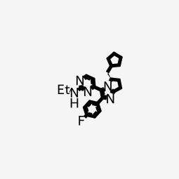 CCNc1nccc(-c2c(-c3ccc(F)cc3)nc3n2[C@H](CC2CCCC2)CC3)n1